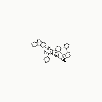 c1ccc(-c2nc(-c3ccc4c(c3)C3(c5ccccc5-c5ccccc5-4)c4ccccc4-c4ccccc43)nc(-c3ccc4oc5ccccc5c4c3)n2)cc1